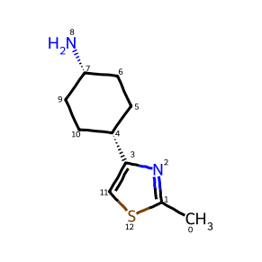 Cc1nc([C@H]2CC[C@@H](N)CC2)cs1